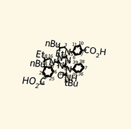 CCCCC(CC)CN(c1ccc(C(=O)O)cc1)c1nc(N(CC(CC)CCCC)c2ccc(C(=O)O)cc2)nc(N(C(=O)NC(C)(C)C)c2ccccc2)n1